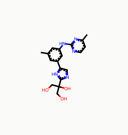 Cc1cc(Nc2nccc(C)n2)cc(-c2cnc(C(O)(CO)CO)[nH]2)c1